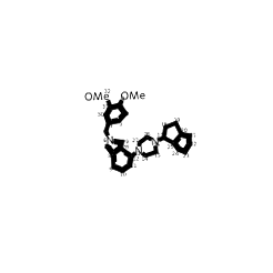 COc1ccc(Cn2cc3cccc(N4CCN(C5CCc6ccccc65)CC4)c3c2)cc1OC